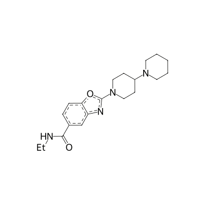 CCNC(=O)c1ccc2oc(N3CCC(N4CCCCC4)CC3)nc2c1